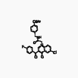 COc1ccc(CNC(=O)Cn2cc(C(=O)c3ccc(F)cc3)c(=O)c3cc(Cl)ccc32)cc1